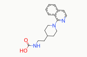 O=C(O)NCCC1CCN(c2nccc3ccccc23)CC1